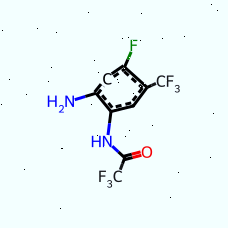 Nc1cc(F)c(C(F)(F)F)cc1NC(=O)C(F)(F)F